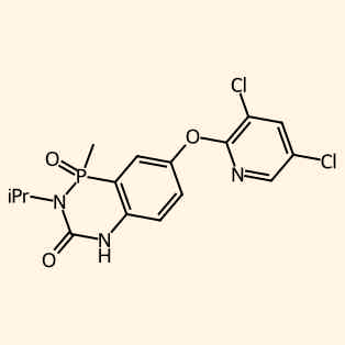 CC(C)N1C(=O)Nc2ccc(Oc3ncc(Cl)cc3Cl)cc2P1(C)=O